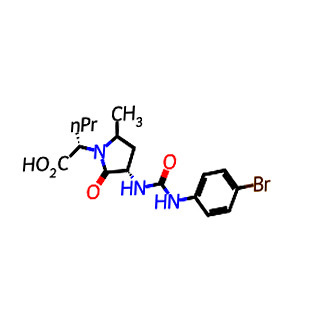 CCC[C@@H](C(=O)O)N1C(=O)[C@@H](NC(=O)Nc2ccc(Br)cc2)CC1C